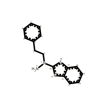 NN(CCc1ccccc1)c1nc2ccccc2s1